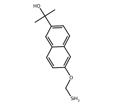 CC(C)(O)c1ccc2cc(OC[SiH3])ccc2c1